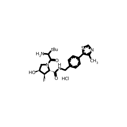 Cc1ncsc1-c1ccc(CNC(=O)[C@@H]2[C@@H](F)[C@@H](O)CN2C(=O)C(N)C(C)(C)C)cc1.Cl